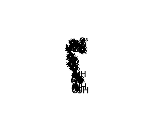 CCC(NC(=O)O)C(=O)N1CCC[C@H]1c1ncc(-c2ccc3c4c(ccc3c2)-c2ccc(-c3cnc([C@@H]5CCCN5C(=O)C(NC(=O)OC)c5ccccc5)[nH]3)cc2CO4)[nH]1